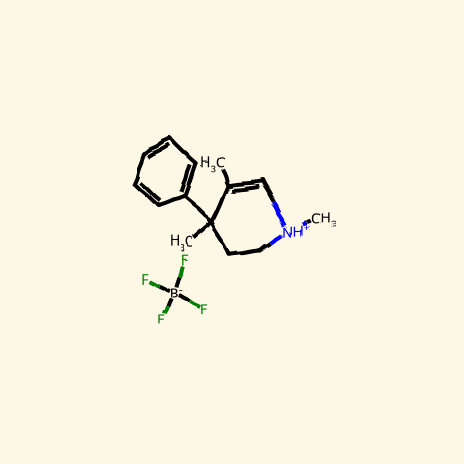 CC1=C[NH+](C)CCC1(C)c1ccccc1.F[B-](F)(F)F